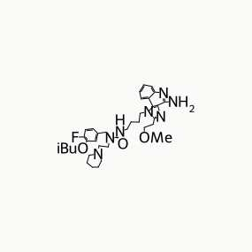 COCCc1nc2c(N)nc3ccccc3c2n1CCCCNC(=O)N(CCN1CCCCC1)Cc1ccc(F)c(OCC(C)C)c1